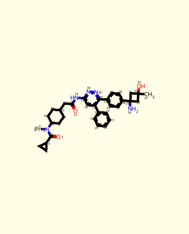 CC(C)N(C(=O)C1CC1)C1CCC(CC(=O)Nc2cc(-c3ccccc3)c(-c3ccc(C4(N)CC(C)(O)C4)cc3)nn2)CC1